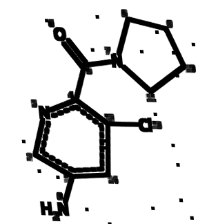 Nc1cnc(C(=O)N2CCCC2)c(Cl)c1